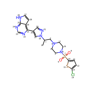 CC(CN1CCN(S(=O)(=O)c2ccc(Cl)s2)CC1)n1cc(-c2ncnc3[nH]ccc23)cn1